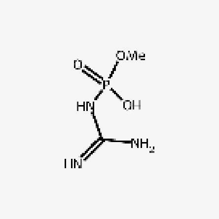 COP(=O)(O)NC(=N)N